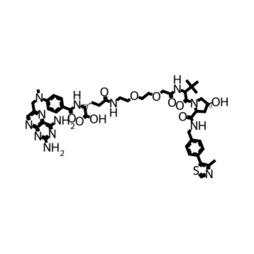 Cc1ncsc1-c1ccc(CNC(=O)C2C[C@@H](O)CN2C(=O)C(NC(=O)COCCOCCNC(=O)CC[C@@H](NC(=O)c2ccc(N(C)Cc3cnc4nc(N)nc(N)c4n3)cc2)C(=O)O)C(C)(C)C)cc1